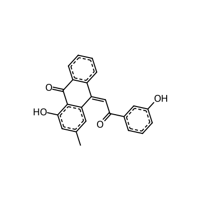 Cc1cc(O)c2c(c1)C(=CC(=O)c1cccc(O)c1)c1ccccc1C2=O